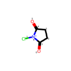 O=C1CCC(=O)[N+]1Cl